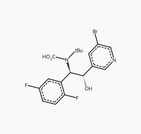 CC(C)(C)N(C(=O)O)[C@H](c1cc(F)ccc1F)[C@@H](O)c1cncc(Br)c1